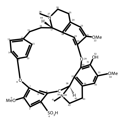 COc1cc(S(=O)(=O)O)c2cc1Oc1ccc(cc1)CC[C@H]1c3cc(c(OC)cc3CCN1C)Oc1c(O)c(OC)cc3c1[C@H](C2)N(C)CC3